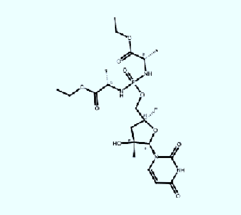 CCOC(=O)[C@H](C)NP(=O)(N[C@@H](C)C(=O)OCC)OC[C@]1(F)C[C@@](C)(O)[C@H](n2ccc(=O)[nH]c2=O)O1